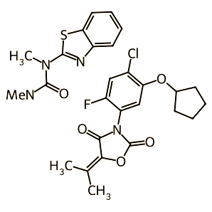 CC(C)=C1OC(=O)N(c2cc(OC3CCCC3)c(Cl)cc2F)C1=O.CNC(=O)N(C)c1nc2ccccc2s1